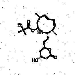 CCC(C)(C)C(=O)O[C@H]1C[C@@H](C)/C=C/C=C\[C@H](C)[C@H](CC[C@@H]2C[C@@H](O)CC(=O)O2)N1